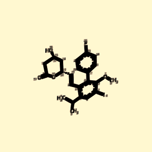 COc1c(I)cc(C(C)C)c(C=C[C@H]2C[C@H](O)CC(=O)O2)c1-c1ccc(F)cc1